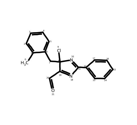 Cc1ccccc1CC1(Cl)N=C(c2ccccc2)N=C1C=O